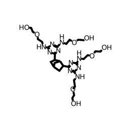 OCCOCCNc1nc(NCCOCCO)nc(C2CC3CC(c4nc(NCCOCCO)nc(NCCOCCO)n4)C2C3)n1